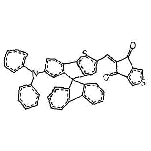 O=C1C(=Cc2cc3c(s2)-c2ccc(N(c4ccccc4)c4ccccc4)cc2C32c3ccccc3-c3ccccc32)C(=O)c2cscc21